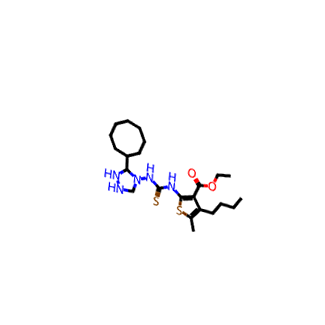 CCCCc1c(C)sc(NC(=S)NN2CNNC2C2CCCCCCC2)c1C(=O)OCC